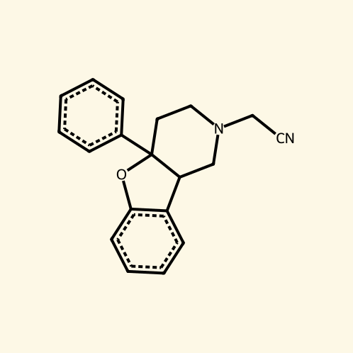 N#CCN1CCC2(c3ccccc3)Oc3ccccc3C2C1